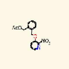 CC(=O)OCc1ccccc1COc1cccnc1[N+](=O)[O-]